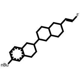 CCCCc1ccc2c(c1)CCC(C1CCC3CC(C=CF)CCC3C1)C2